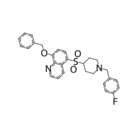 O=S(=O)(c1ccc(OCc2ccccc2)c2ncccc12)C1CCN(Cc2ccc(F)cc2)CC1